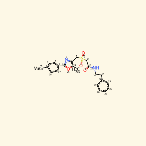 CSc1ccc(-c2nc(CS(=O)(=O)CC(=O)NCCc3ccccc3)c(C)o2)cc1